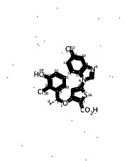 C[C@@H](Oc1cc(-n2cnc3cc(Cl)ccc32)sc1C(=O)O)c1cccc(O)c1Cl